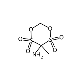 CC1(N)S(=O)(=O)OCOS1(=O)=O